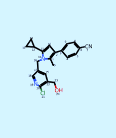 Cc1c(-c2ccc(C#N)cc2)cc(C2CC2)n1Cc1cnc(Cl)c(CO)c1